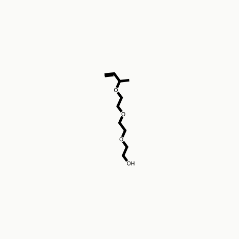 C=CC(C)OCCOCCOCCO